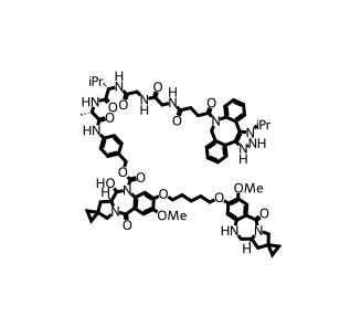 COc1cc2c(cc1OCCCCCOc1cc3c(cc1OC)C(=O)N1CC4(CC4)C[C@H]1C(O)N3C(=O)OCc1ccc(NC(=O)[C@H](C)NC(=O)[C@@H](NC(=O)CNC(=O)CNC(=O)CCC(=O)N3Cc4ccccc4C4=C(c5ccccc53)N(C(C)C)NN4)C(C)C)cc1)NC[C@@H]1CC3(CC3)CN1C2=O